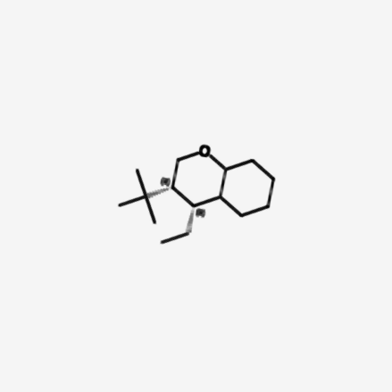 CC[C@H]1C2CCCCC2OC[C@H]1C(C)(C)C